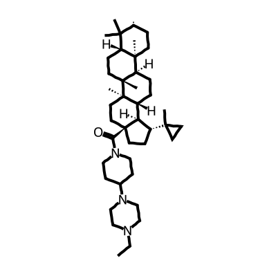 CCN1CCN(C2CCN(C(=O)[C@]34CC[C@@H](C5(C)CC5)[C@@H]3[C@H]3CC[C@@H]5[C@]6(C)CC[CH]C(C)(C)[C@H]6CC[C@@]5(C)[C@]3(C)CC4)CC2)CC1